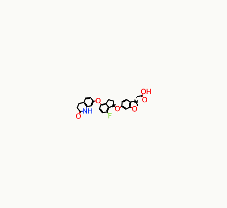 O=C(O)C[C@@H]1COc2cc(O[C@@H]3CCc4c(Oc5ccc6c(c5)NC(=O)CC6)ccc(F)c43)ccc21